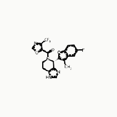 Cc1c([C@@H]2c3nc[nH]c3CCN2C(=O)c2ocnc2C(F)(F)F)oc2ccc(F)cc12